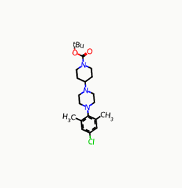 Cc1cc(Cl)cc(C)c1N1CCN(C2CCN(C(=O)OC(C)(C)C)CC2)CC1